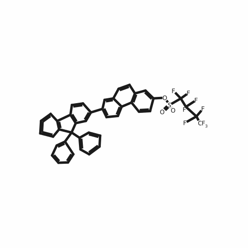 O=S(=O)(Oc1ccc2c(ccc3cc(-c4ccc5c(c4)C(c4ccccc4)(c4ccccc4)C4=C5C=C=C=C4)ccc32)c1)C(F)(F)C(F)(F)C(F)(F)C(F)(F)F